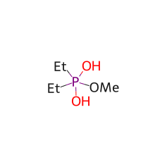 CCP(O)(O)(CC)OC